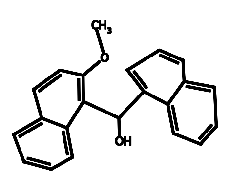 COc1ccc2ccccc2c1C(O)c1cccc2ccccc12